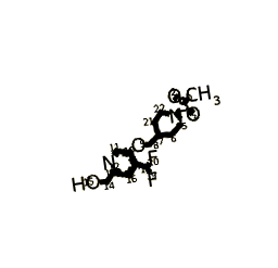 CS(=O)(=O)N1CCC(COc2cnc(CO)cc2C(F)F)CC1